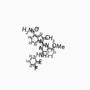 CO[C@H]1CCCc2c(NCc3cccc(F)c3F)nc(-n3c(C)cc4c(C(N)=O)cccc43)nc21